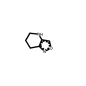 c1onc2c1NCCC2